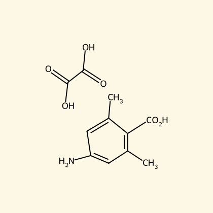 Cc1cc(N)cc(C)c1C(=O)O.O=C(O)C(=O)O